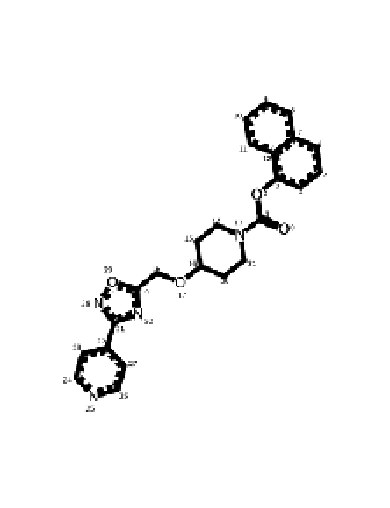 O=C(Oc1cccc2ccccc12)N1CCC(OCc2nc(-c3ccncc3)no2)CC1